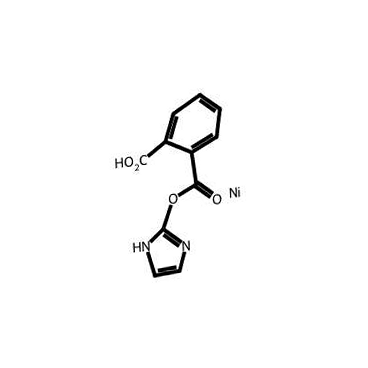 O=C(O)c1ccccc1C(=O)Oc1ncc[nH]1.[Ni]